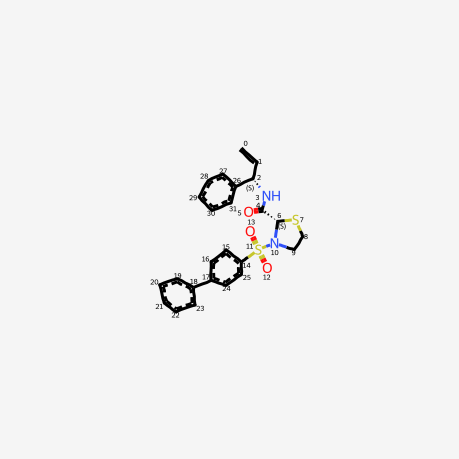 C=C[C@H](NC(=O)[C@@H]1SCCN1S(=O)(=O)c1ccc(-c2ccccc2)cc1)c1ccccc1